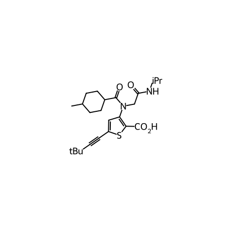 CC1CCC(C(=O)N(CC(=O)NC(C)C)c2cc(C#CC(C)(C)C)sc2C(=O)O)CC1